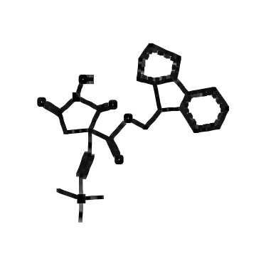 C[Si](C)(C)C#CC1(C(=O)OCC2c3ccccc3-c3ccccc32)CC(=O)N(O)C1=O